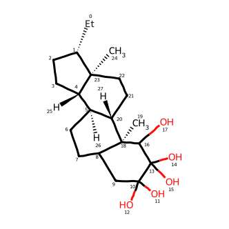 CC[C@H]1CC[C@H]2[C@@H]3CCC4CC(O)(O)C(O)(O)C(O)[C@]4(C)[C@H]3CC[C@]12C